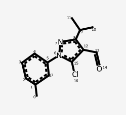 Cc1cccc(-n2nc(C(C)C)c(C=O)c2Cl)c1